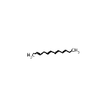 C/C=C/C/C=C/C=C/C=C/CC